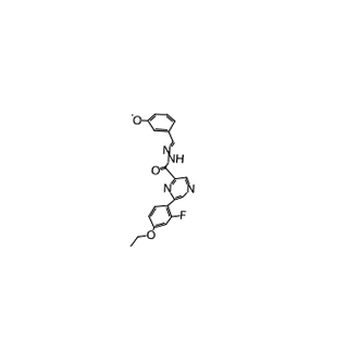 CCOc1ccc(-c2cncc(C(=O)NN=Cc3cccc(OC)c3)n2)c(F)c1